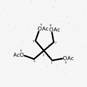 CC(=O)OCC(COC(C)=O)(COC(C)=O)COC(C)=O